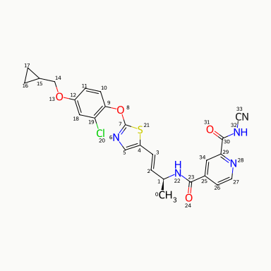 C[C@@H](/C=C/c1cnc(Oc2ccc(OCC3CC3)cc2Cl)s1)NC(=O)c1ccnc(C(=O)NC#N)c1